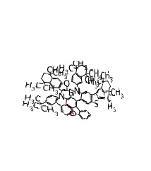 CC(C)(C)c1ccc(N2c3cc4oc5ccccc5c4c4c3B(c3oc5cc6c(cc5c32)C(C)(C)CCC6(C)C)N(c2ccc3c(c2)C(C)(C)CCC3(C)C)c2cc3c(cc2-4)sc2cc4c(cc23)C(C)(C)CCC4(C)C)c(-c2ccccc2)c1